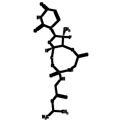 CC(C)OC(=O)CNP1(=O)NCC(=O)OC2[C@@H](CO1)O[C@@H](n1ccc(=O)[nH]c1=O)[C@@]2(C)F